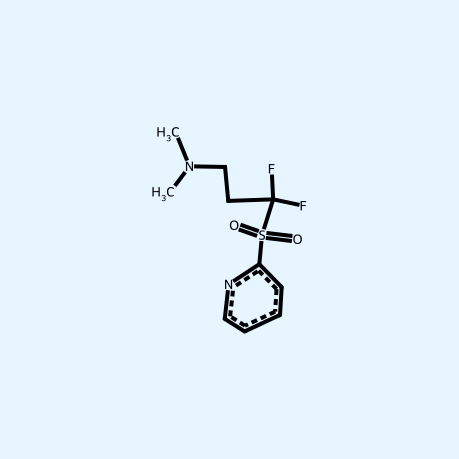 CN(C)CCC(F)(F)S(=O)(=O)c1ccccn1